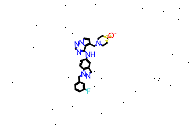 [O-][S+]1CCN(Cc2ccn3ncnc(Nc4ccc5c(cnn5Cc5cccc(F)c5)c4)c23)CC1